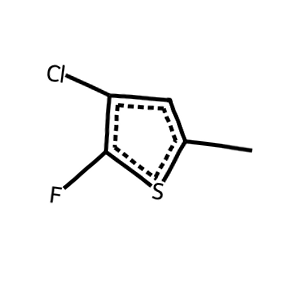 Cc1cc(Cl)c(F)s1